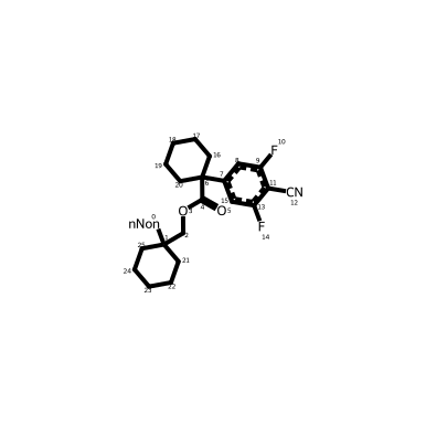 CCCCCCCCCC1(COC(=O)C2(c3cc(F)c(C#N)c(F)c3)CCCCC2)CCCCC1